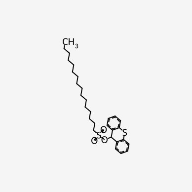 CCCCCCCCCCCCCCCCS(=O)(=O)OC1c2ccccc2Sc2ccccc21